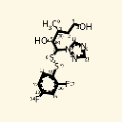 C[C@H](CCO)[C@@H](O)C(SSc1ccc(F)cc1F)n1cncn1